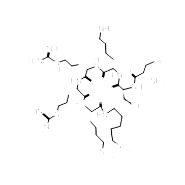 CC(C)C[C@H](NC(=O)[C@@H](N)CC(C)C)C(=O)N[C@@H](CCCCN)C(=O)N[C@@H](CCCNC(=N)N)C(=O)N[C@@H](CCCNC(=N)N)C(=O)N[C@@H](CCCCN)C(=O)N[C@@H](CCCCN)C(=O)O